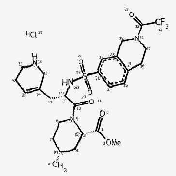 COC(=O)[C@@H]1C[C@H](C)CCN1C(=O)[C@H](CC1=CCCNC1)NS(=O)(=O)c1ccc2c(c1)CN(C(=O)C(F)(F)F)CC2.Cl